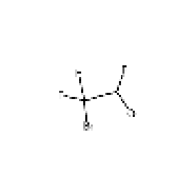 [O]C(F)C(F)(F)Br